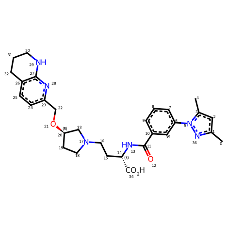 Cc1cc(C)n(-c2cccc(C(=O)N[C@@H](CCN3CC[C@@H](OCc4ccc5c(n4)NCCC5)C3)C(=O)O)c2)n1